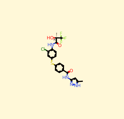 Cc1cc(NC(=O)c2ccc(Sc3ccc(NC(=O)[C@@](C)(O)C(F)(F)F)c(Cl)c3)cc2)n[nH]1